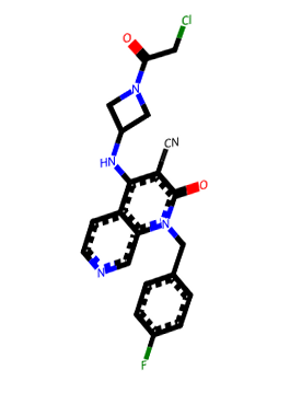 N#Cc1c(NC2CN(C(=O)CCl)C2)c2ccncc2n(Cc2ccc(F)cc2)c1=O